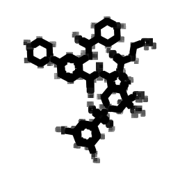 CCOC(=O)n1nc2c(c1NC(=O)c1ccc(N3CCOCC3)cc1NC(=O)C1CCOCC1)CN(S(=O)(=O)c1cc(F)cc(F)c1)CC2(C)C